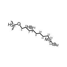 Br.C[SiH](C)OCCCCCCC[CH2][Mg][C](C)(C)C